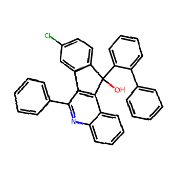 OC1(c2ccccc2-c2ccccc2)c2ccc(Cl)cc2-c2c(-c3ccccc3)nc3ccccc3c21